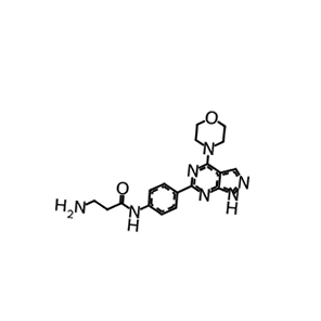 NCCC(=O)Nc1ccc(-c2nc(N3CCOCC3)c3cn[nH]c3n2)cc1